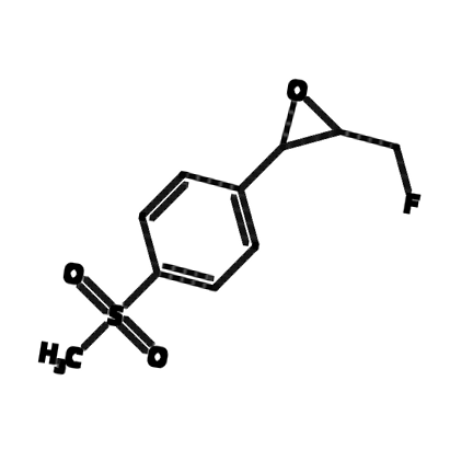 CS(=O)(=O)c1ccc(C2OC2CF)cc1